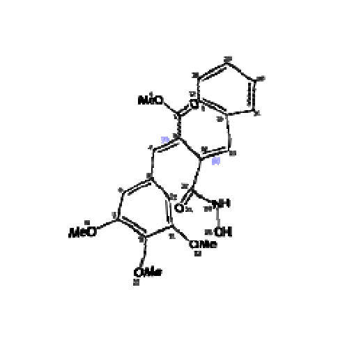 COC(=O)C(=C/c1cc(OC)c(OC)c(OC)c1)/C(=C\c1ccccc1)C(=O)NO